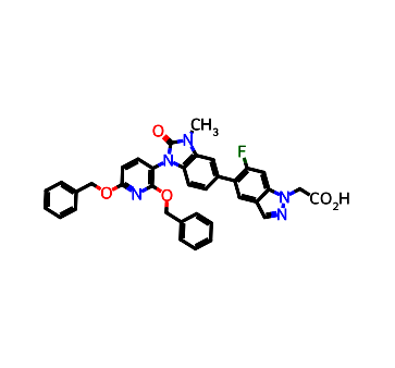 Cn1c(=O)n(-c2ccc(OCc3ccccc3)nc2OCc2ccccc2)c2ccc(-c3cc4cnn(CC(=O)O)c4cc3F)cc21